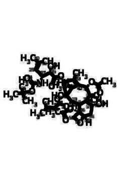 CC(=O)O[C@H]1C(=O)[C@@]2(C)[C@H]([C@H](OC(=O)C=C(C)C)[C@]3(O)C[C@H](OC(=O)[C@H](O)[C@H](C=C(C)C)NC(=O)OC(C)(C)C)C(C)=C1C3(C)C)[C@]1(OC(C)=O)CO[C@@H]1C[C@@H]2O